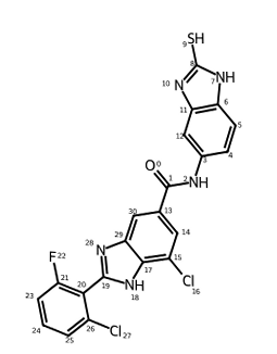 O=C(Nc1ccc2[nH]c(S)nc2c1)c1cc(Cl)c2[nH]c(-c3c(F)cccc3Cl)nc2c1